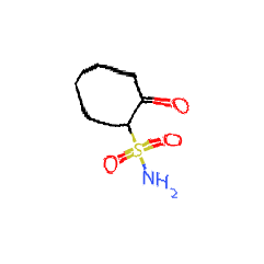 NS(=O)(=O)C1CCCCC1=O